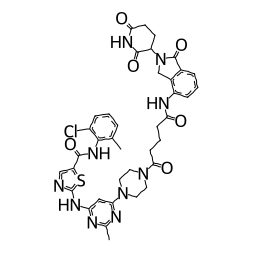 Cc1nc(Nc2ncc(C(=O)Nc3c(C)cccc3Cl)s2)cc(N2CCN(C(=O)CCCC(=O)Nc3cccc4c3CN(C3CCC(=O)NC3=O)C4=O)CC2)n1